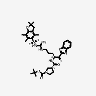 Cc1c(C)c(S(=O)(=O)NC(=N)NCCC[C@H](NC(=O)[C@H]2CCN(C(=O)OC(C)(C)C)C2)C(=O)c2nc3ccccc3s2)c(C)c2c1OC(C)(C)C2